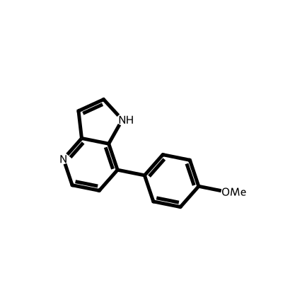 COc1ccc(-c2ccnc3cc[nH]c23)cc1